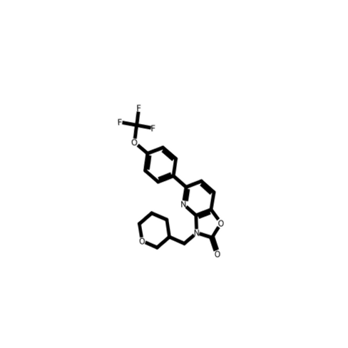 O=c1oc2ccc(-c3ccc(OC(F)(F)F)cc3)nc2n1CC1CCCOC1